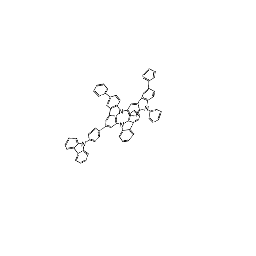 c1ccc(-c2ccc3c(c2)c2cc(-n4c5ccc(-c6ccccc6)cc5c5cc(-c6ccc(-n7c8ccccc8c8ccccc87)cc6)cc(-n6c7ccccc7c7ccccc76)c54)ccc2n3-c2ccccc2)cc1